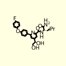 CC(C)C[C@H](NC(=O)c1cc([C@H](O)CO)cc(-c2ccc(Oc3ccc(F)cc3)cc2)n1)C(N)=O